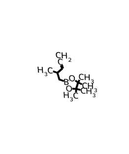 C=C=CC(C)CB1OC(C)(C)C(C)(C)O1